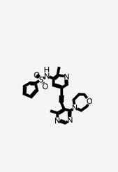 Cc1ncc(C#Cc2c(C)ncnc2N2CCCOCC2)cc1NS(=O)(=O)c1ccccc1